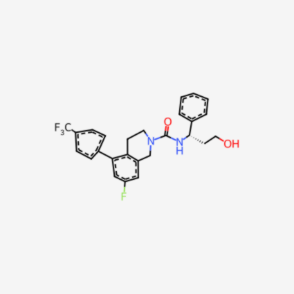 O=C(N[C@@H](CCO)c1ccccc1)N1CCc2c(cc(F)cc2-c2ccc(C(F)(F)F)cc2)C1